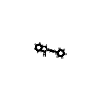 C(#CN1Cc2ccccc2N1)c1ccccc1